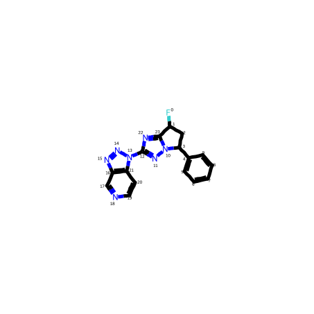 FC1CC(c2ccccc2)n2nc(-n3nnc4cnccc43)nc21